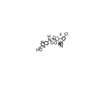 C[C@@H](O)c1cnc2cc(NC(=O)[C@@H]3CCC4CC(c5c(-n6cnnn6)ccc(Cl)c5F)=CC(=O)N43)ccc2n1